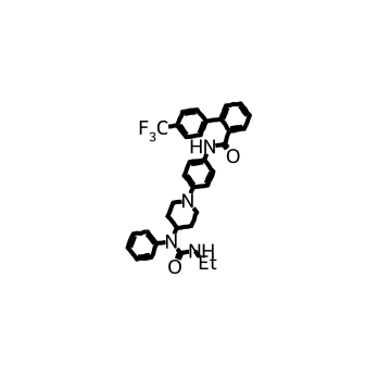 CCNC(=O)N(c1ccccc1)C1CCN(c2ccc(NC(=O)c3ccccc3-c3ccc(C(F)(F)F)cc3)cc2)CC1